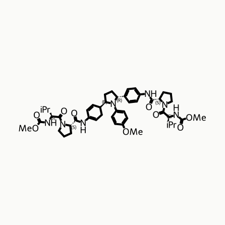 COC(=O)N[C@H](C(=O)N1CCC[C@H]1C(=O)NC1=CCC([C@H]2CC[C@H](c3ccc(NC(=O)[C@@H]4CCCN4C(=O)[C@@H](NC(=O)OC)C(C)C)cc3)N2c2ccc(OC)cc2)C=C1)C(C)C